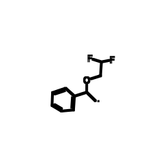 [CH2]C(OCC(F)F)c1ccccc1